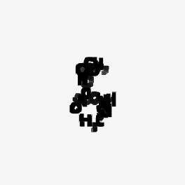 Cc1cnc(Nc2ccc(Oc3ccc(S(C)(=O)=O)nc3)c(CN3CCCC3=O)c2)s1